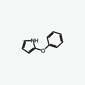 [c]1ccc(Oc2ccccc2)[nH]1